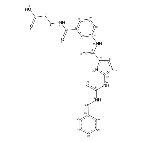 O=C(O)CCNC(=O)c1cccc(NC(=O)c2csc(NC(=O)NCc3ccccc3)n2)c1